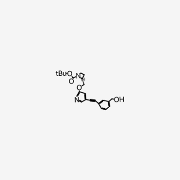 CC(C)(C)OC(=O)N1CC[C@H]1COc1cncc(C#Cc2cccc(CO)c2)c1